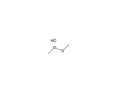 COOC.Cl